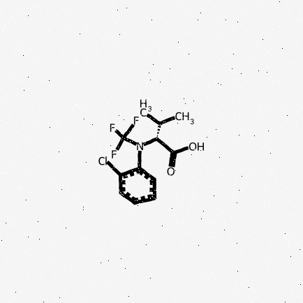 CC(C)[C@H](C(=O)O)N(c1ccccc1Cl)C(F)(F)F